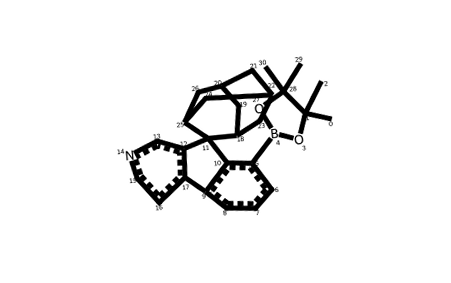 CC1(C)OB(c2cccc3c2C2(c4cnccc4-3)C3CC4CC(C3)CC2C4)OC1(C)C